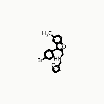 Cc1ccc2oc(CNCc3ccco3)c(-c3ccc(Br)cc3)c2c1